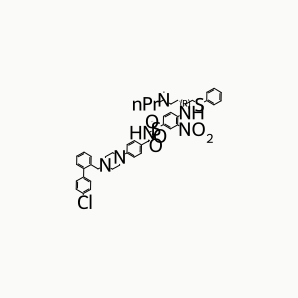 CCCN(C)CC[C@H](CSc1ccccc1)Nc1ccc(S(=O)(=O)NC(=O)c2ccc(N3CCN(Cc4ccccc4-c4ccc(Cl)cc4)CC3)cc2)cc1[N+](=O)[O-]